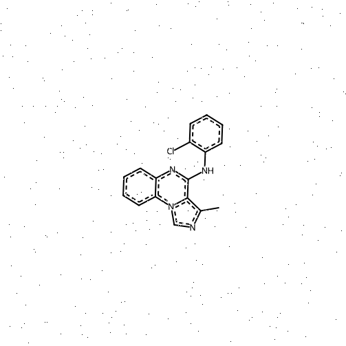 Cc1ncn2c1c(Nc1ccccc1Cl)nc1ccccc12